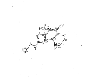 CCOc1ccc2[nH]c(=O)c3c(c2c1)NCCC3.Cl